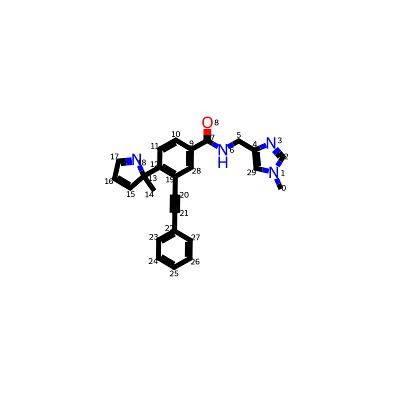 Cn1cnc(CNC(=O)c2ccc(C3(C)C=CC=N3)c(C#Cc3ccccc3)c2)c1